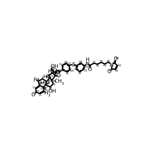 C[C@]12C[C@H](O)[C@@]3(F)[C@@H](C[C@H](F)C4=CC(=O)C=C[C@@]43C)[C@@H]1C[C@H]1O[C@@H](c3ccc(Sc4cccc(NC(=O)CCCCCN5C(=O)C=CC5=O)c4)cc3)OC12C(=O)CO